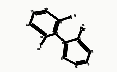 Brc1ccccc1-c1c(I)cccc1I